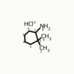 CC1(C)CCCCC1N.Cl